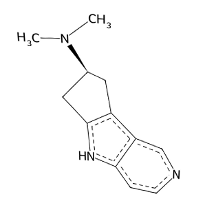 CN(C)[C@@H]1Cc2[nH]c3ccncc3c2C1